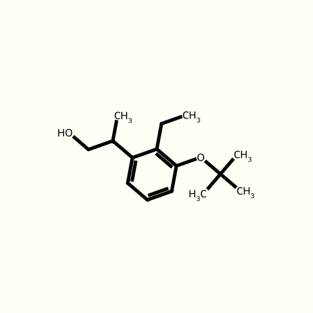 CCc1c(OC(C)(C)C)cccc1[C](C)CO